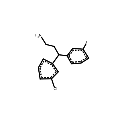 NCCC(c1cccc(F)c1)c1cccc(Cl)c1